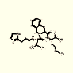 CSCC[C@H](NC(=O)C1Cc2ccccc2CN1C(=O)[C@@H](NCCCc1ncc[nH]1)C(C)C)C(=O)O